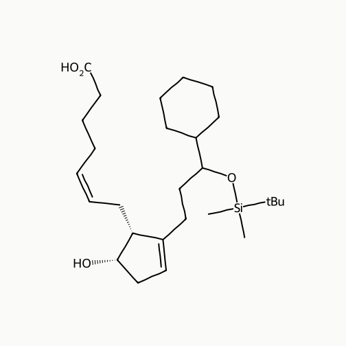 CC(C)(C)[Si](C)(C)OC(CCC1=CC[C@H](O)[C@@H]1C/C=C\CCCC(=O)O)C1CCCCC1